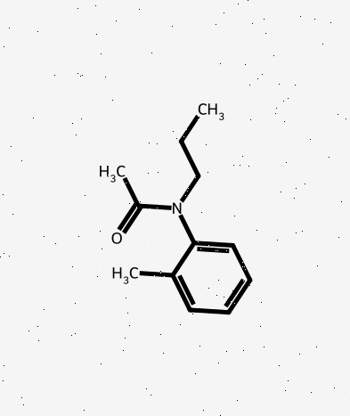 CCCN(C(C)=O)c1ccccc1C